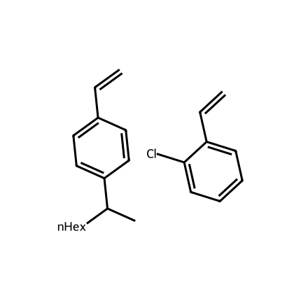 C=Cc1ccc(C(C)CCCCCC)cc1.C=Cc1ccccc1Cl